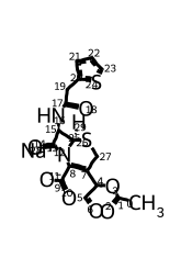 CC(=O)OC(C=O)C1=C(C(=O)[O-])N2C(=O)[C@@H](NC(=O)Cc3cccs3)[C@H]2SC1.[Na+]